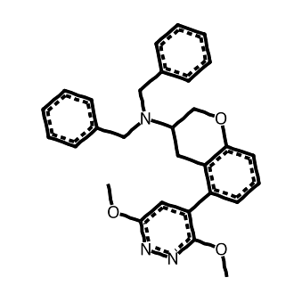 COc1cc(-c2cccc3c2CC(N(Cc2ccccc2)Cc2ccccc2)CO3)c(OC)nn1